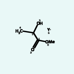 COC(=O)C(C)O.[Y]